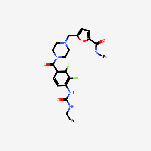 CC(C)CNC(=O)Nc1ccc(C(=O)N2CCN(Cc3ccc(C(=O)NC(C)(C)C)o3)CC2)c(F)c1F